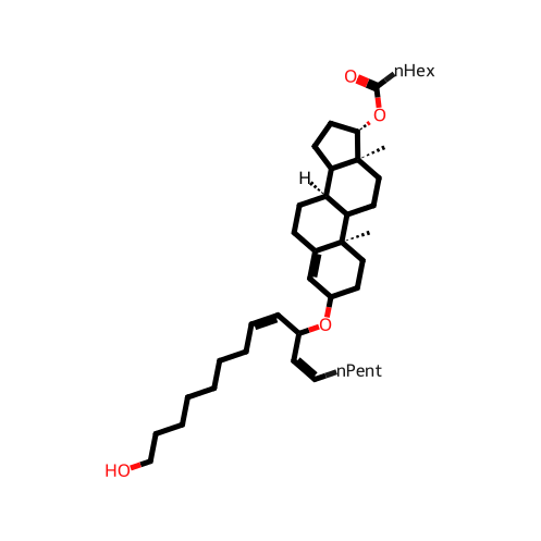 CCCCC/C=C\C(/C=C\CCCCCCCO)OC1C=C2CC[C@@H]3C(CC[C@@]4(C)C3CC[C@@H]4OC(=O)CCCCCC)[C@@]2(C)CC1